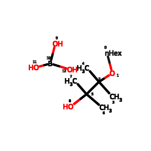 CCCCCCOC(C)(C)C(C)(C)O.OB(O)O